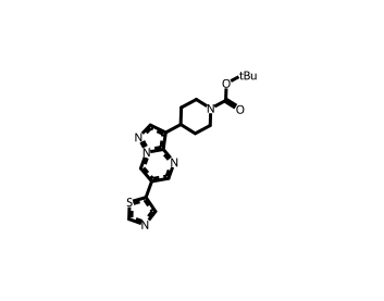 CC(C)(C)OC(=O)N1CCC(c2cnn3cc(-c4cncs4)cnc23)CC1